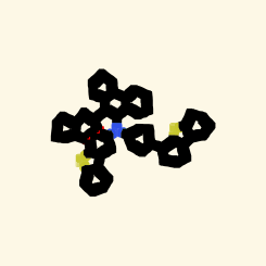 c1ccc2cc(-c3c(N(c4ccc(-c5cccc6c5sc5ccccc56)cc4)c4ccc5sc6ccccc6c5c4)c4ccccc4c4ccccc34)ccc2c1